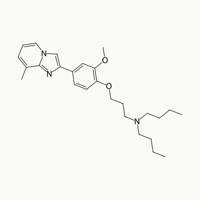 CCCCN(CCCC)CCCOc1ccc(-c2cn3cccc(C)c3n2)cc1OC